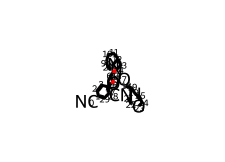 N#Cc1ccc(OCCN2C3CCC2CN(C(=O)OCCN2CCOCC2)C3)c(C#N)c1